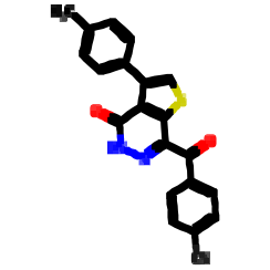 Cc1ccc(-c2csc3c(C(=O)c4ccc(C#N)cc4)n[nH]c(=O)c23)cc1